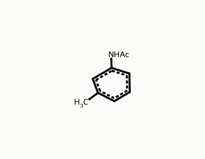 [CH2]C(=O)Nc1cccc(C)c1